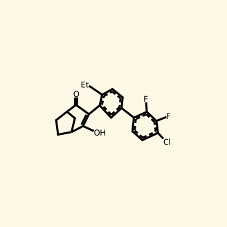 CCc1ccc(-c2ccc(Cl)c(F)c2F)cc1C1=C(O)C2CCC(C2)C1=O